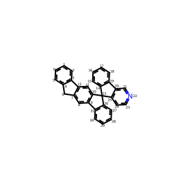 c1ccc2c(c1)Cc1cc3c(cc1-2)C1(c2ccccc2-c2cnccc21)c1ccccc1-3